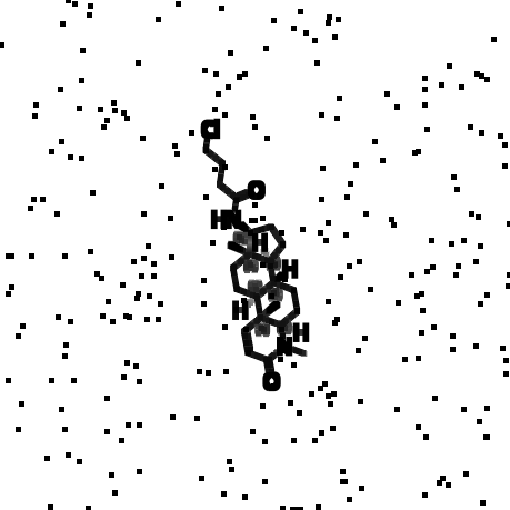 CN1C(=O)C=C[C@]2(C)[C@H]3CC[C@]4(C)[C@@H](NC(=O)CCCCl)CC[C@H]4[C@@H]3CC[C@@H]12